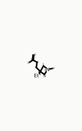 C=C(C)CCC1(CC)CN(C)C1